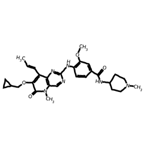 CC=Cc1c(OCC2CC2)c(=O)n(C)c2cnc(Nc3ccc(C(=O)NC4CCN(C)CC4)cc3OC)nc12